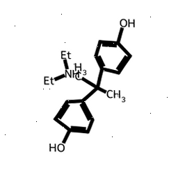 CC(C)(c1ccc(O)cc1)c1ccc(O)cc1.CCNCC